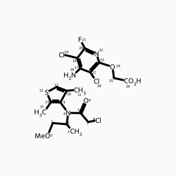 COCC(C)N(C(=O)CCl)c1c(C)csc1C.Nc1c(Cl)c(F)nc(OCC(=O)O)c1Cl